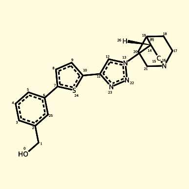 OCc1cccc(-c2ccc(-c3cn([C@H]4CN5CCC4CC5)nn3)s2)c1